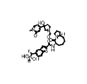 Cn1ccc(C2(O)CCN(C(=O)[C@@H]3CC[C@@H]4CCCC[C@H](NC(=O)c5cc6cc(C(F)P(=O)(O)O)ccc6s5)C(=O)N43)C2)cc1=O